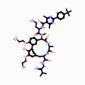 Cc1nc(-c2ccc(C(C)(C)C)cc2)nc(C)c1C(=O)NC(CCN)C(=O)N(C)C1C(=O)NC(C)C(=O)NC(C(=O)NCC(=N)C(C)C)Cc2cc(OCCN)c(O)c(c2)-c2cc1ccc2OCCN